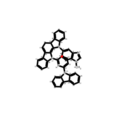 Cn1cnc2cc(N3C4=c5c(c6ccccc6n5-c5cccc(-n6c7ccccc7c7ccccc76)n5)=CCC4c4ccccc43)ccc21